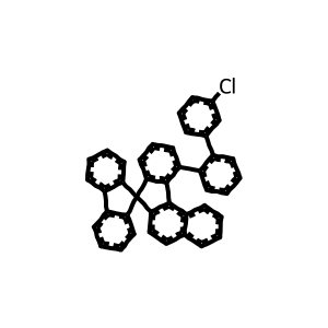 Clc1cccc(-c2ccccc2-c2cccc3c2-c2c(ccc4ccccc24)C32c3ccccc3-c3ccccc32)c1